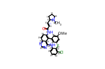 COc1cccc(-c2c(NC(=O)/C=C/C3CCCN3C)ccc3ncnc(Nc4cccc(Cl)c4F)c23)c1